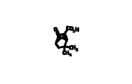 CC1(C)CC2CCC1C(C(=O)O)C2=O